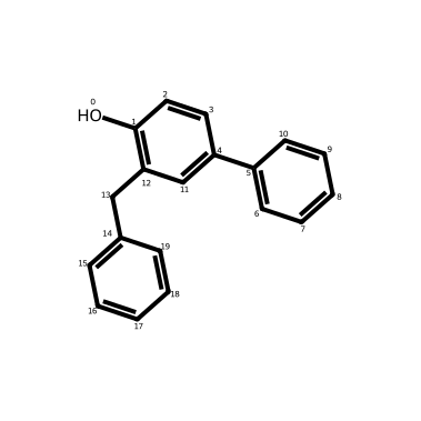 Oc1ccc(-c2ccccc2)cc1Cc1ccccc1